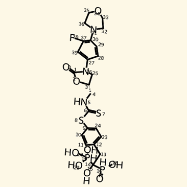 O=C1O[C@@H](CNC(=S)Sc2ccc(CC(O)([PH](=O)O)[PH](O)(O)O)cc2)CN1c1ccc(N2CCOCC2)c(F)c1